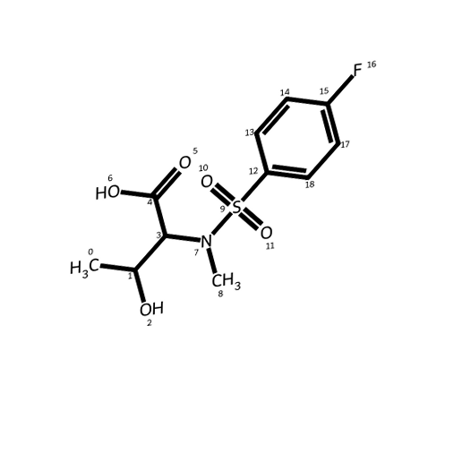 CC(O)C(C(=O)O)N(C)S(=O)(=O)c1ccc(F)cc1